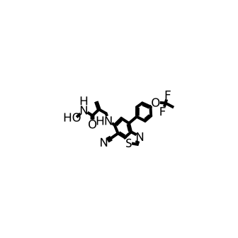 C=C(CNc1cc(-c2ccc(OC(C)(F)F)cc2)c2ncsc2c1C#N)C(=O)NO